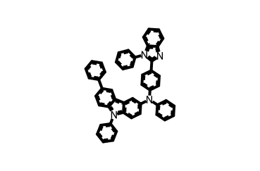 c1ccc(-c2ccc3c(c2)c2cc(N(c4ccccc4)c4ccc(-c5nc6ccccc6n5-c5ccccc5)cc4)ccc2n3-c2ccccc2)cc1